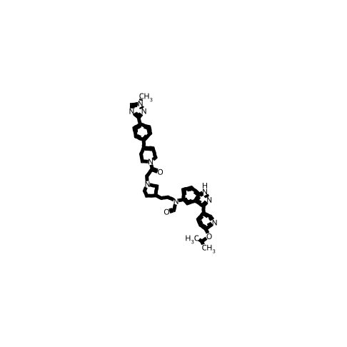 CC(C)Oc1ccc(-c2n[nH]c3ccc(N(C=O)CCC4CCN(CC(=O)N5CC=C(c6ccc(-c7ncn(C)n7)cc6)CC5)C4)cc23)cn1